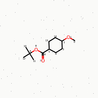 COC1CCC(C(=O)OC(C)(C)C)CC1